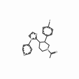 CC(=O)N1CCC(c2nccn2-c2ccncc2)C(c2ccc(F)cc2)C1